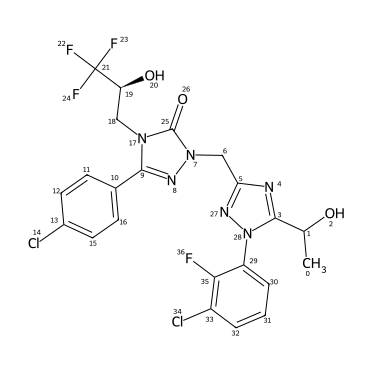 CC(O)c1nc(Cn2nc(-c3ccc(Cl)cc3)n(C[C@H](O)C(F)(F)F)c2=O)nn1-c1cccc(Cl)c1F